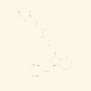 O=C(CCCc1cn(Cc2cccc(F)c2)c2ccccc12)NCCc1ccccc1